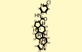 O=C(Nc1ccc(Cl)nc1)[C@@H]1CC[C@H]2[C@@H]3CCC4[C@H](C=Cc5nccn54)[C@H]3CC[C@@H]21